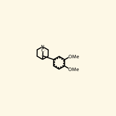 COc1ccc([C]2[CH]N3CCC2CC3)cc1OC